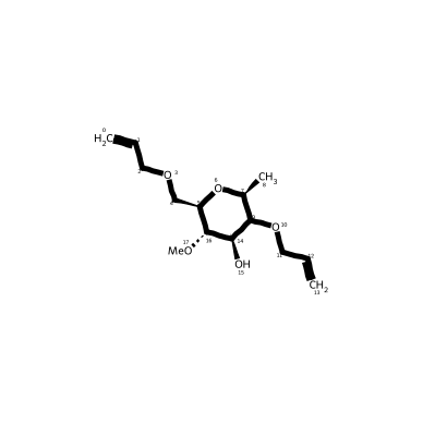 C=CCOC[C@H]1O[C@@H](C)C(OCC=C)[C@@H](O)[C@@H]1OC